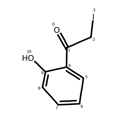 O=C(CI)c1ccccc1O